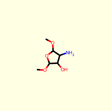 COC1OC(OC)C(O)C1N